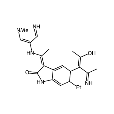 CCC1C=C2NC(=O)/C(=C(/C)N/C(C=N)=C/NC)C2=CC1/C(C(C)=N)=C(\C)O